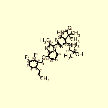 C/C=C/c1ccc(F)c(F)c1COc1cccn2c(-c3nc(NCC(C)(C)O)c4c(n3)NC(=O)C4(C)C)c(C)nc12